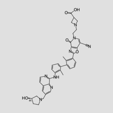 Cc1c(Nc2nccc3cc(CN4CC[C@@H](O)C4)cnc23)cccc1-c1cccc(-c2nc3c(=O)n(CCN4CC(C(=O)O)C4)cc(C#N)c3o2)c1C